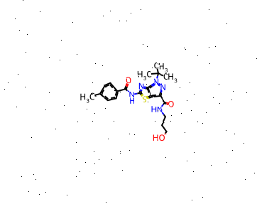 Cc1ccc(C(=O)Nc2nc3c(s2)c(C(=O)NCCCO)nn3C(C)(C)C)cc1